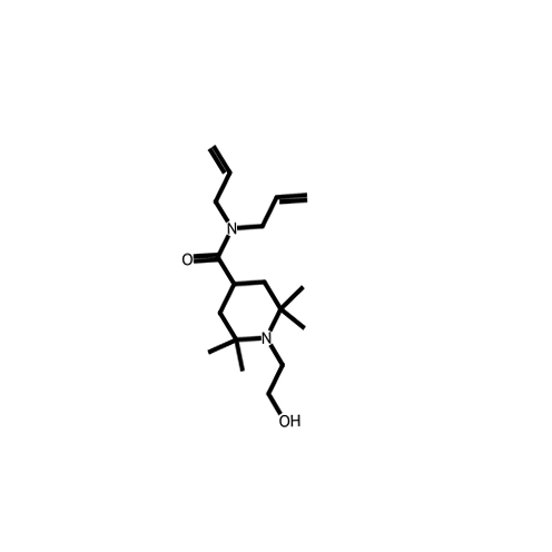 C=CCN(CC=C)C(=O)C1CC(C)(C)N(CCO)C(C)(C)C1